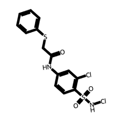 O=C(CSc1ccccc1)Nc1ccc(S(=O)(=O)NCl)c(Cl)c1